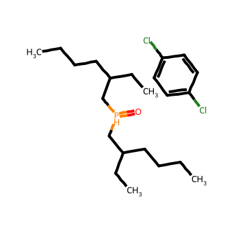 CCCCC(CC)C[PH](=O)CC(CC)CCCC.Clc1ccc(Cl)cc1